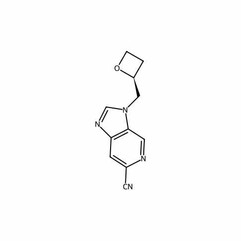 N#Cc1cc2ncn(C[C@@H]3CCO3)c2cn1